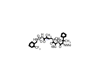 CN[C@H](C(=O)NC(C(=O)N(C)C/C=C(\C)C(=O)NS(=O)(=O)NCc1ccccc1C(F)(F)F)C(C)(C)C)C(C)(C)c1ccccc1